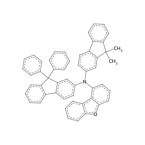 CC1(C)c2ccccc2-c2ccc(N(c3ccc4c(c3)C(c3ccccc3)(c3ccccc3)c3ccccc3-4)c3cccc4oc5ccccc5c34)cc21